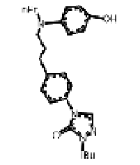 CCCN(CCCc1ccc(-n2cnn(C(C)CC)c2=O)cc1)c1ccc(O)cc1